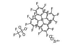 Fc1c(F)c(F)c([B-](c2c(F)c(F)c(F)c(F)c2F)(c2c(F)c(F)c(F)c(F)c2F)c2c(F)c(F)c(F)c(F)c2F)c(F)c1F.O=S(=O)([O-])C(F)(F)F.[Cl-].[Cl-].[Zr+4]